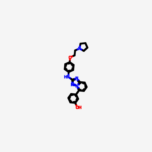 Oc1cccc(-c2cccc3nc(Nc4ccc(OCCN5CCCC5)cc4)nn23)c1